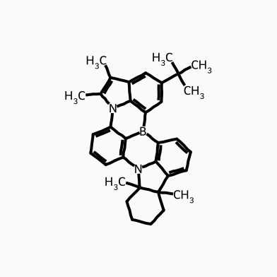 Cc1c(C)n2c3c(cc(C(C)(C)C)cc13)B1c3cccc4c3N(c3cccc-2c31)C1(C)CCCCC41C